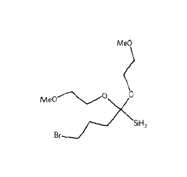 COCCOC([SiH3])(CCCBr)OCCOC